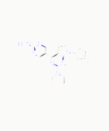 Nc1ncc(-c2nc(N3CCOCC3)nc3c2CCN3C2CCC(F)C2)cn1